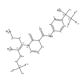 C=C1C(C(=O)Nc2ccc(C(C)(O)C(F)(F)F)nc2)CC=CN1/C(CCN)=C(/N)OCC(C)(F)F